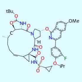 COc1ccc2c(O[C@@H]3C[C@H]4C(=O)N[C@]5(C(=O)NS(=O)(=O)C6CC6)CC5/C=C\CC[C@H](C)C[C@@H](C)[C@H](NC(=O)OC(C)(C)C)C(=O)N4C3)nc(-c3ccc(OC(C)C)c(F)c3)cc2c1